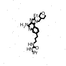 CCc1nc2c(N)nc3cc(CCCNC(=O)NC(C)C)ccc3c2n1CC1CCOCC1